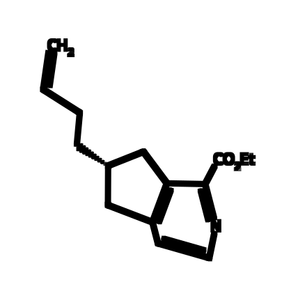 C=CCC[C@H]1Cc2ccnc(C(=O)OCC)c2C1